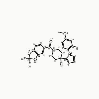 COc1ccc(-n2cccc2C2(Cl)CCN(C(=O)c3ccc4c(c3)OC(F)(F)O4)CC2)c(C)c1